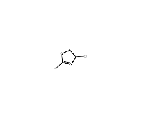 [CH2]C1=NC(Cl)CO1